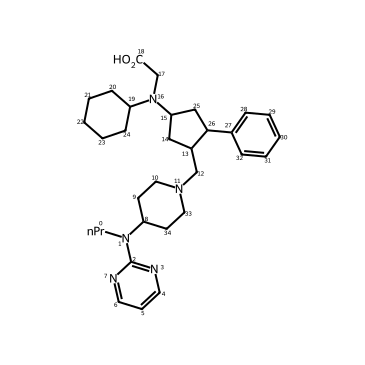 CCCN(c1ncccn1)C1CCN(CC2CC(N(CC(=O)O)C3CCCCC3)CC2c2ccccc2)CC1